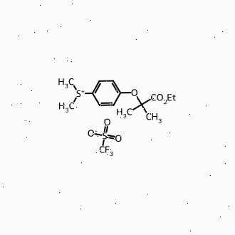 CCOC(=O)C(C)(C)Oc1ccc([S+](C)C)cc1.O=S(=O)([O-])C(F)(F)F